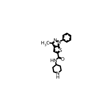 Cc1nn(-c2ccccc2)c2sc(C(=O)NC3CCNCC3)cc12